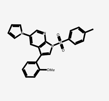 COc1ccccc1-c1cn(S(=O)(=O)c2ccc(C)cc2)c2ncc(-n3cccc3)cc12